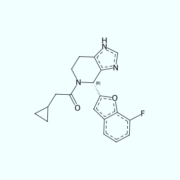 O=C(CC1CC1)N1CCc2[nH]cnc2[C@@H]1c1cc2cccc(F)c2o1